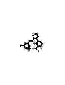 NC(=O)c1cc(-c2ccnnc2C(N)Cc2cc(F)cc(F)c2)ccc1F